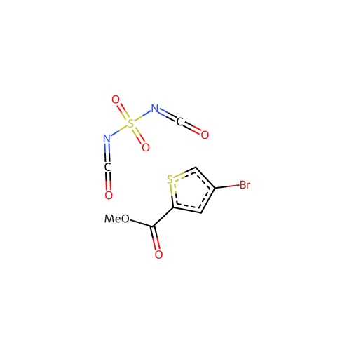 COC(=O)c1cc(Br)cs1.O=C=NS(=O)(=O)N=C=O